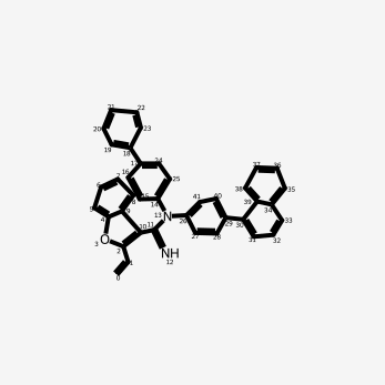 C=Cc1oc2ccccc2c1C(=N)N(c1ccc(-c2ccccc2)cc1)c1ccc(-c2cccc3ccccc23)cc1